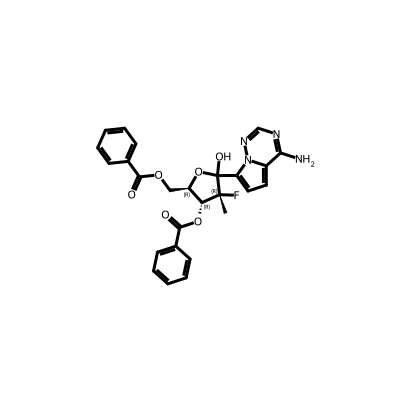 C[C@@]1(F)[C@H](OC(=O)c2ccccc2)[C@@H](COC(=O)c2ccccc2)OC1(O)c1ccc2c(N)ncnn12